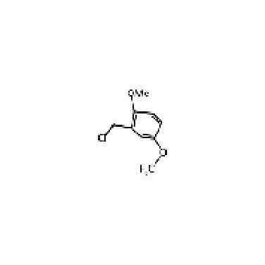 COc1ccc(OC(F)(F)F)cc1CCl